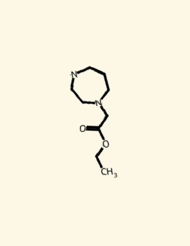 CCOC(=O)CN1CCC[N]CC1